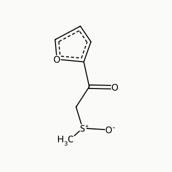 C[S+]([O-])CC(=O)c1ccco1